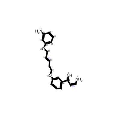 N=C(/C=C\N)c1cccc(OCC/C=C/COc2cccc(N)c2)c1